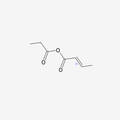 C/C=C/C(=O)OC(=O)CC